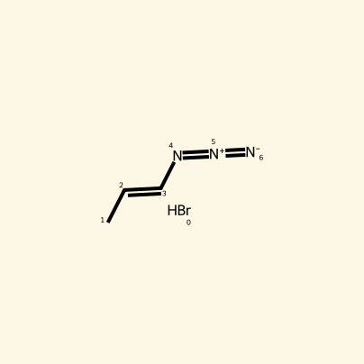 Br.CC=CN=[N+]=[N-]